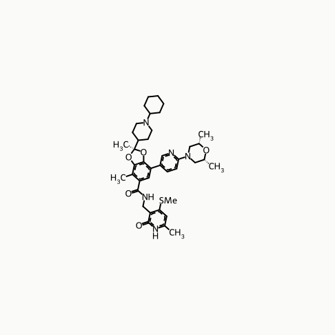 CSc1cc(C)[nH]c(=O)c1CNC(=O)c1cc(-c2ccc(N3C[C@@H](C)O[C@@H](C)C3)nc2)c2c(c1C)O[C@@](C)(C1CCN(C3CCCCC3)CC1)O2